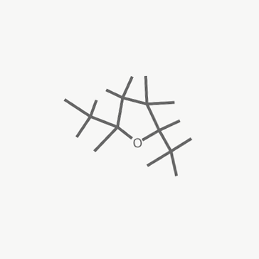 CC(C)(C)C1(C)OC(C)(C(C)(C)C)C(C)(C)C1(C)C